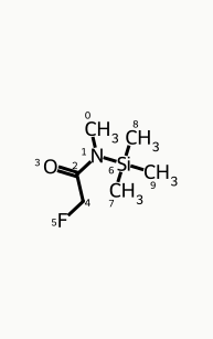 CN(C(=O)CF)[Si](C)(C)C